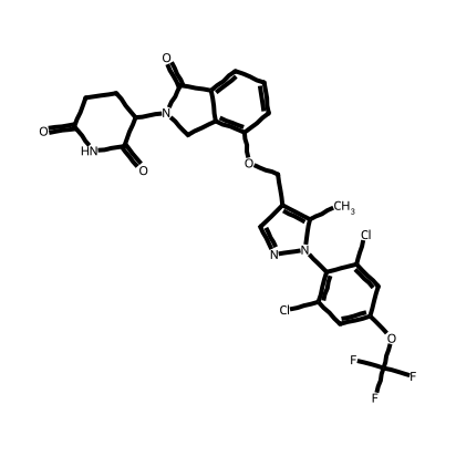 Cc1c(COc2cccc3c2CN(C2CCC(=O)NC2=O)C3=O)cnn1-c1c(Cl)cc(OC(F)(F)F)cc1Cl